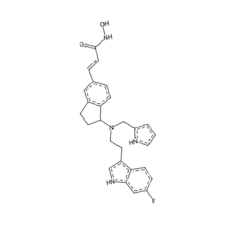 O=C(C=Cc1ccc2c(c1)CCC2N(CCc1c[nH]c2cc(F)ccc12)Cc1ccc[nH]1)NO